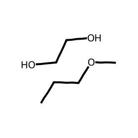 CCCOC.OCCO